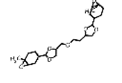 CC12CCC(C3OCC(CCOCC4COC(C5CCC6(C)OC6C5)O4)O3)CC1O2